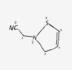 N#CCN1CC=CS1